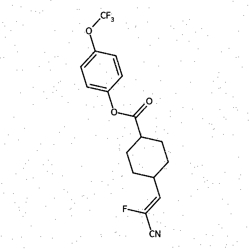 N#CC(F)=CC1CCC(C(=O)Oc2ccc(OC(F)(F)F)cc2)CC1